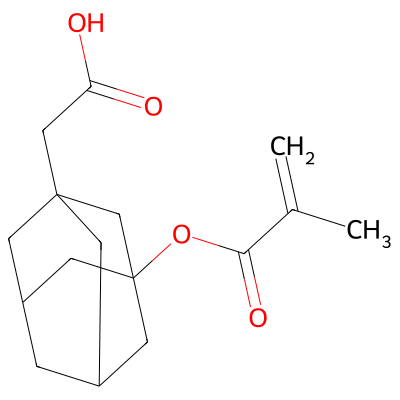 C=C(C)C(=O)OC12CC3CC(CC(CC(=O)O)(C3)C1)C2